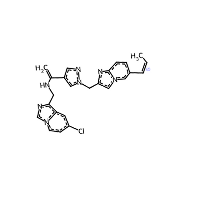 C=C(NCc1ncn2ccc(Cl)cc12)c1cnn(Cc2cn3cc(/C=C\C)ccc3n2)c1